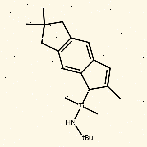 CC1=Cc2cc3c(cc2[CH]1[Ti]([CH3])([CH3])[NH]C(C)(C)C)CC(C)(C)C3